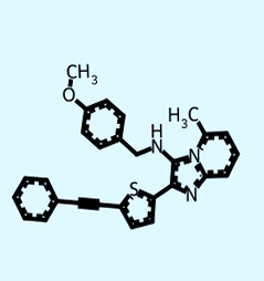 COc1ccc(CNc2c(-c3ccc(C#Cc4ccccc4)s3)nc3cccc(C)n23)cc1